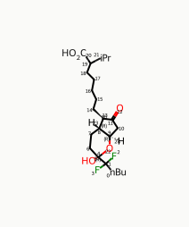 CCCCC(F)(F)[C@@]1(O)CC[C@H]2[C@@H](CC(=O)[C@@H]2CCCCCC(C(=O)O)C(C)C)O1